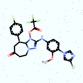 COc1cc(NC2=NN3CCC(=O)CC(c4ccc(F)cc4)C3N2OC(=O)C(F)(F)F)ccc1-n1cnc(Cl)c1